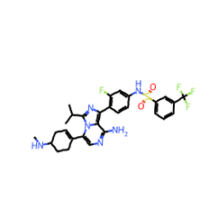 CNC1CC=C(c2cnc(N)c3c(-c4ccc(NS(=O)(=O)c5cccc(C(F)(F)F)c5)cc4F)nc(C(C)C)n23)CC1